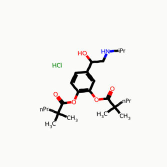 CCCC(C)(C)C(=O)Oc1ccc(C(O)CNC(C)C)cc1OC(=O)C(C)(C)CCC.Cl